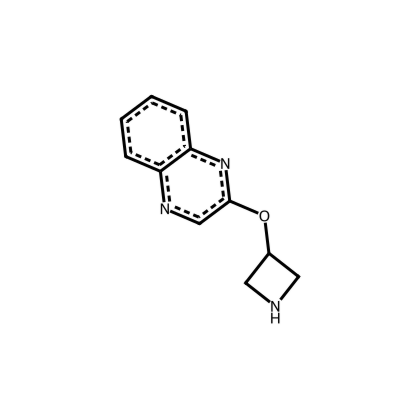 c1ccc2nc(OC3CNC3)cnc2c1